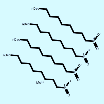 CCCCCCCCCCCCCCCCCC[PH](=O)[O-].CCCCCCCCCCCCCCCCCC[PH](=O)[O-].CCCCCCCCCCCCCCCCCC[PH](=O)[O-].CCCCCCCCCCCCCCCCCC[PH](=O)[O-].[Mo+4]